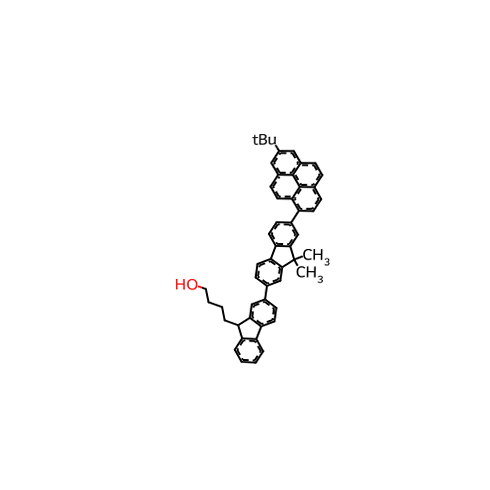 CC(C)(C)c1cc2ccc3ccc(-c4ccc5c(c4)C(C)(C)c4cc(-c6ccc7c(c6)C(CCCCO)c6ccccc6-7)ccc4-5)c4ccc(c1)c2c34